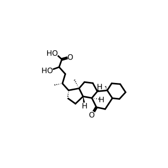 C[C@H](CC(O)C(=O)O)[C@H]1CC[C@H]2[C@@H]3C(=O)CC4CCCC[C@]4(C)[C@H]3CC[C@]12C